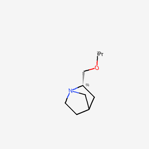 CC(C)OC[C@@H]1CC2CCN1C2